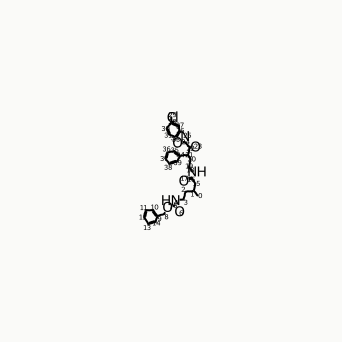 CC(CCNC(=O)OCc1ccccc1)CC(=O)NCCC(C(=O)c1nc2cc(Cl)ccc2o1)c1ccccc1